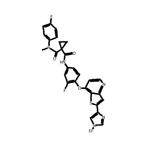 CCn1cnc(-c2cc3nccc(Oc4ccc(NC(=O)C5(C(=O)N(C)c6ccc(F)cc6)CC5)cc4F)c3s2)c1